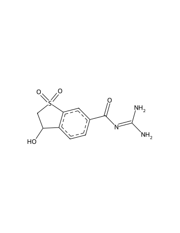 NC(N)=NC(=O)c1ccc2c(c1)S(=O)(=O)CC2O